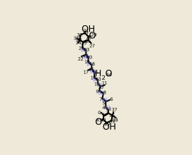 CC1=C(/C=C/C(C)=C/C=C/C(C)=C/C=C/C=C(C)/C=C/C=C(C)/C=C/C2=C(C)C(=O)C(O)CC2(C)C)C(C)(C)CC(O)C1=O.O